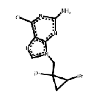 CC(C)C1CC1(Cn1cnc2c(Cl)nc(N)nc21)C(C)C